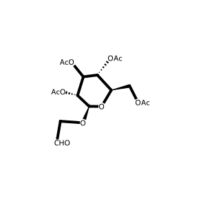 CC(=O)OC[C@H]1O[C@@H](OCC=O)[C@H](OC(C)=O)C(OC(C)=O)[C@@H]1OC(C)=O